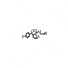 CN(CC#N)C(=O)c1ncccc1C(=O)c1ccc(F)cc1